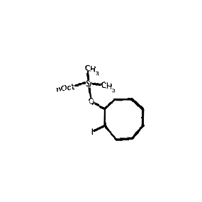 CCCCCCCC[Si](C)(C)OC1CCCCCCC1I